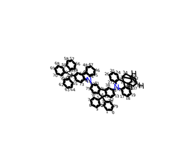 c1ccc(C2(c3ccccc3)c3ccc(N4c5ccccc5C5(c6ccccc64)C4C[C@H]6C[C@@H](C4)C[C@@H]5C6)cc3-c3cc(-n4c5ccccc5c5cc([Si](c6ccccc6)(c6ccccc6)c6ccccc6)ccc54)ccc32)cc1